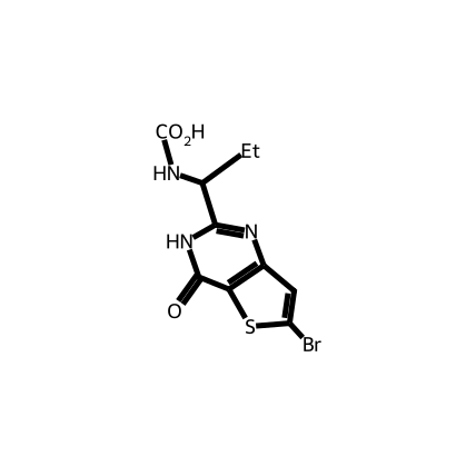 CCC(NC(=O)O)c1nc2cc(Br)sc2c(=O)[nH]1